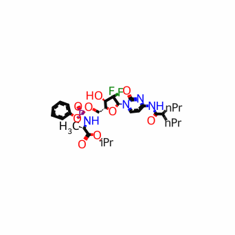 CCCC(CCC)C(=O)Nc1ccn([C@@H]2O[C@H](CO[P@@](=O)(N[C@@H](C)C(=O)OC(C)C)Oc3ccccc3)[C@@H](O)C2(F)F)c(=O)n1